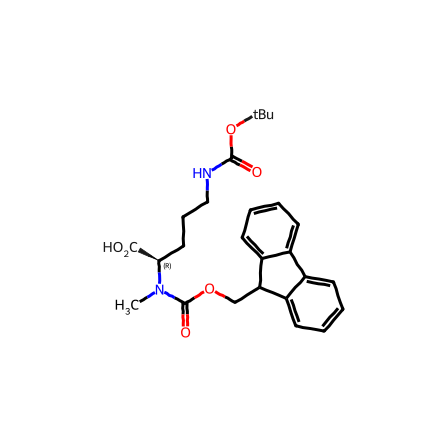 CN(C(=O)OCC1c2ccccc2-c2ccccc21)[C@H](CCCNC(=O)OC(C)(C)C)C(=O)O